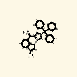 C=C(c1cn(C(c2ccccc2)(c2ccccc2)c2ccccc2)cn1)c1cccc2c1CC=C2C